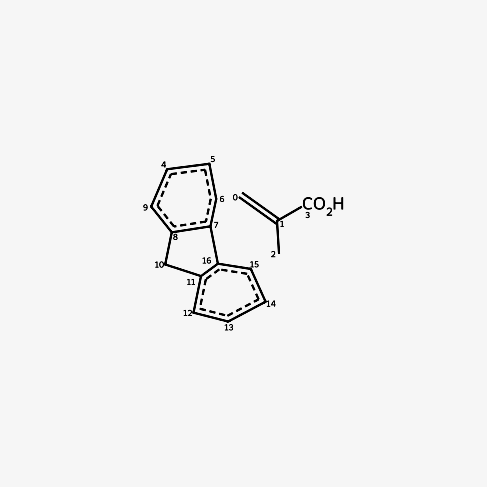 C=C(C)C(=O)O.c1ccc2c(c1)Cc1ccccc1-2